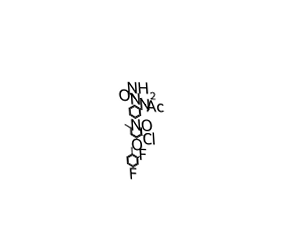 CC(=O)N1CN(C(N)=O)c2ccc(-n3c(C)cc(OCc4ccc(F)cc4F)c(Cl)c3=O)cc21